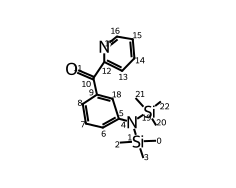 C[Si](C)(C)N(c1cccc(C(=O)c2ccccn2)c1)[Si](C)(C)C